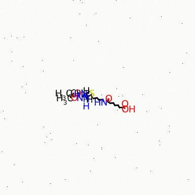 CC(C)(C)OC(=O)/N=C1/N[C@H]2[C@H](CS[C@H]2CCCCNC(=O)CCCCCC(=O)O)N1